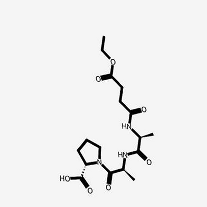 CCOC(=O)CCC(=O)N[C@@H](C)C(=O)N[C@@H](C)C(=O)N1CCC[C@H]1C(=O)O